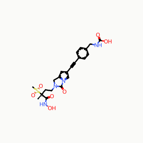 C[C@@](CCN1Cc2cc(C#Cc3ccc(CNC(=O)O)cc3)cn2C1=O)(C(=O)NO)S(C)(=O)=O